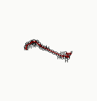 Cc1cc(F)cc(C)c1Oc1ccc(C(C)(C)O)cc1-c1cn(C)c(=O)c2[nH]c(C(=O)Nc3ccc(OCCOCCOCCOCCOCCOCCOCCOCCOCCNC(=O)CCNC(=O)c4nc(NC(=O)CCNC(=O)c5cc(NC(=O)c6nc(NC(=O)CCNC(=O)c7cc(NC(=O)c8nccn8C)cn7C)cn6C)cn5C)cn4C)c(O)c3)cc12